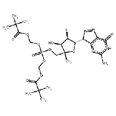 CC(C)(C)C(=O)OCOP(=O)(OCOC(=O)C(C)(C)C)OC[C@@]1(C)O[C@@H](C2C=Nc3c2nc(N)[nH]c3=O)[C@H](F)[C@@H]1O